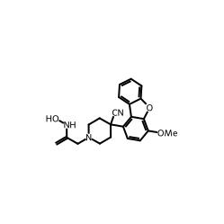 C=C(CN1CCC(C#N)(c2ccc(OC)c3oc4ccccc4c23)CC1)NO